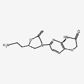 C=C1OC(CCN)CN1c1ccc2c(n1)NC(=O)CO2